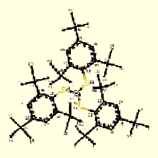 CC(C)(C)c1cc(C(C)(C)C)c([S][Bi]([S]c2c(C(C)(C)C)cc(C(C)(C)C)cc2C(C)(C)C)[S]c2c(C(C)(C)C)cc(C(C)(C)C)cc2C(C)(C)C)c(C(C)(C)C)c1